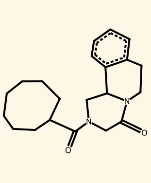 O=C(C1CCCCCCC1)N1CC(=O)N2CCc3ccccc3C2C1